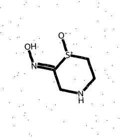 [O-][S+]1CCNCC1=NO